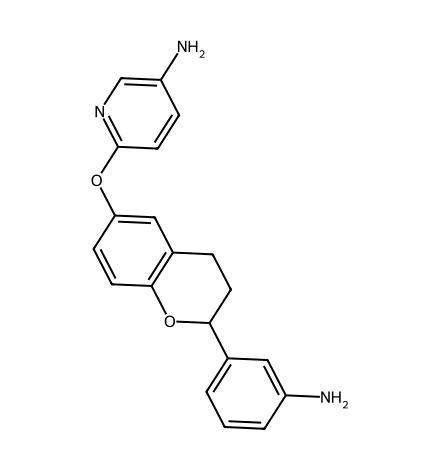 Nc1ccc(Oc2ccc3c(c2)CCC(c2cccc(N)c2)O3)nc1